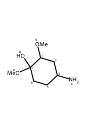 COC1CC(N)CCC1(O)OC